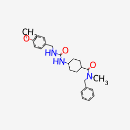 COc1ccc(CNC(=O)NC2CCC(C(=O)N(C)Cc3ccccc3)CC2)cc1